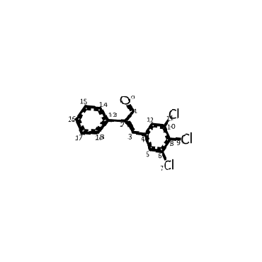 O=CC(=Cc1cc(Cl)c(Cl)c(Cl)c1)c1ccccc1